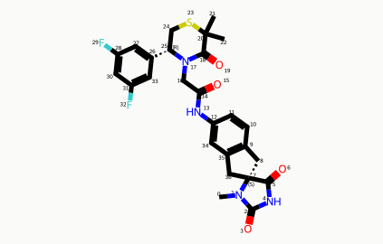 CN1C(=O)NC(=O)[C@@]12Cc1ccc(NC(=O)CN3C(=O)C(C)(C)SC[C@H]3c3cc(F)cc(F)c3)cc1C2